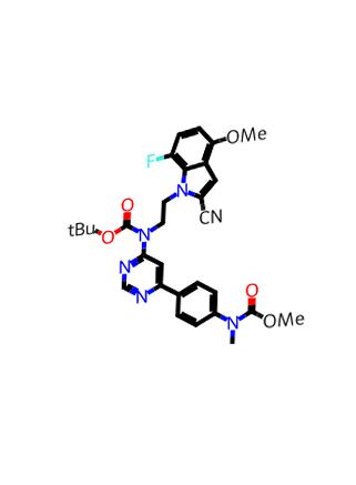 COC(=O)N(C)c1ccc(-c2cc(N(CCn3c(C#N)cc4c(OC)ccc(F)c43)C(=O)OC(C)(C)C)ncn2)cc1